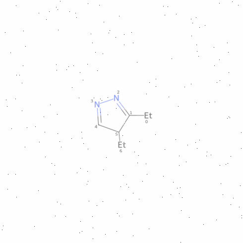 CCC1=NN=CC1CC